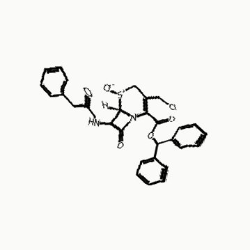 O=C(Cc1ccccc1)NC1C(=O)N2C(C(=O)OC(c3ccccc3)c3ccccc3)=C(CCl)C[S+]([O-])[C@@H]12